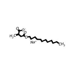 C=C(CC(=O)OCCCCCCCCCCCC)C(=O)[O-].[Na+]